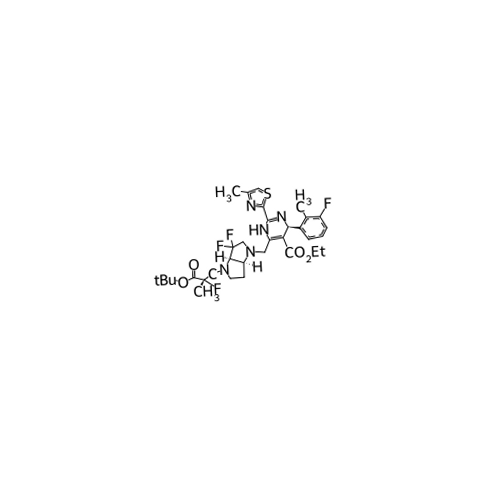 CCOC(=O)C1=C(CN2CC(F)(F)[C@H]3[C@@H]2CCN3C[C@](C)(F)C(=O)OC(C)(C)C)NC(c2nc(C)cs2)=N[C@H]1c1cccc(F)c1C